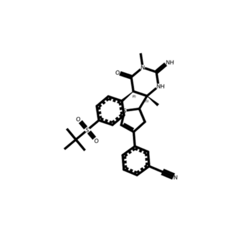 CN1C(=N)N[C@](C)(C2CC(c3cccc(C#N)c3)=CS2)[C@@H](c2ccc(S(=O)(=O)C(C)(C)C)cc2)C1=O